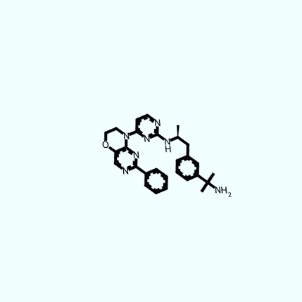 C[C@@H](Cc1cccc(C(C)(C)N)c1)Nc1nccc(N2CCOc3cnc(-c4ccccc4)nc32)n1